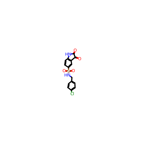 O=C1Nc2ccc(S(=O)(=O)NCc3ccc(Cl)cc3)cc2C1=O